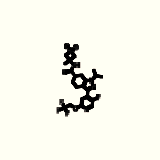 CC(C)n1nc(-c2cc(OCC(F)(F)F)ncc2F)c2c1C[C@H](C(=O)NC1(C)CS(=O)(=O)C1)CC2